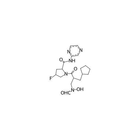 O=CN(O)CC(CC1CCCC1)C(=O)N1CC(F)CC1C(=O)Nc1cnccn1